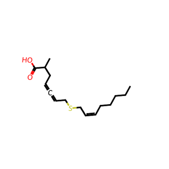 CCCCC/C=C\CSCC=C=CCC(C)C(=O)O